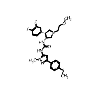 COCCN1C[C@@H](NC(=O)Nc2cc(-c3ccc(SC)cc3)nn2C)[C@H](C2=C=CC(F)=C(F)C2)C1